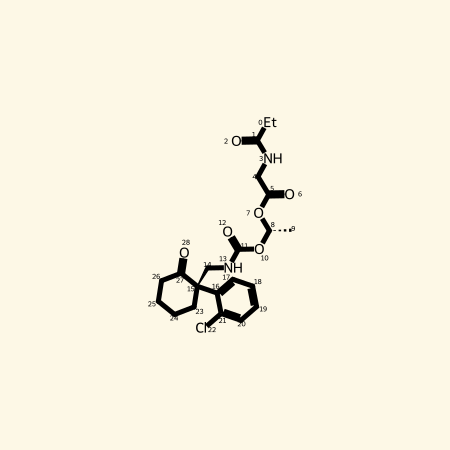 CCC(=O)NCC(=O)O[C@H](C)OC(=O)NC[C@@]1(c2ccccc2Cl)CCCCC1=O